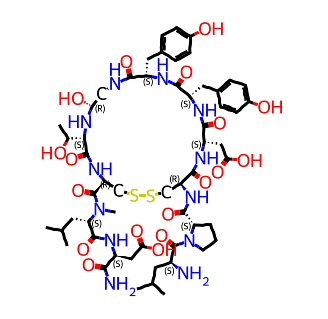 CC(C)C[C@H](N)C(=O)N1CCC[C@H]1C(=O)N[C@H]1CSSC[C@@H](C(=O)N(C)[C@@H](CC(C)C)C(=O)N[C@@H](CC(=O)O)C(N)=O)NC(=O)[C@H](C(C)O)N[C@H](O)CNC(=O)[C@H](Cc2ccc(O)cc2)NC(=O)[C@H](Cc2ccc(O)cc2)NC(=O)[C@H](CC(=O)O)NC1=O